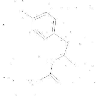 COC(=O)NC(Cc1ccc(O)cc1)C(C)=O